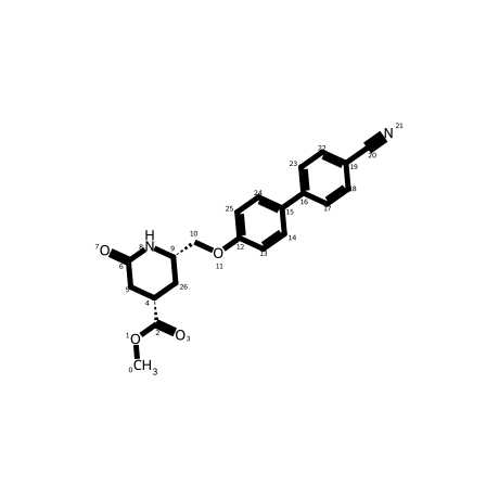 COC(=O)[C@@H]1CC(=O)N[C@H](COc2ccc(-c3ccc(C#N)cc3)cc2)C1